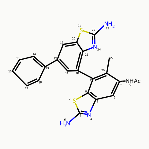 CC(=O)Nc1cc2nc(N)sc2c(-c2cc(-c3ccccc3)cc3sc(N)nc23)c1C